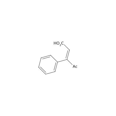 CC(=O)/C(=C/C(=O)O)c1ccccc1